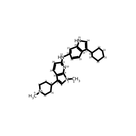 CN1CCC(c2cn(C)c3nc(Nc4ccc5c(C6CCCCC6)c[nH]c5c4)ccc23)CC1